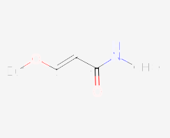 CCOC=CC(=O)N[C]=O